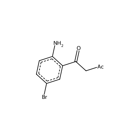 CC(=O)CC(=O)c1cc(Br)ccc1N